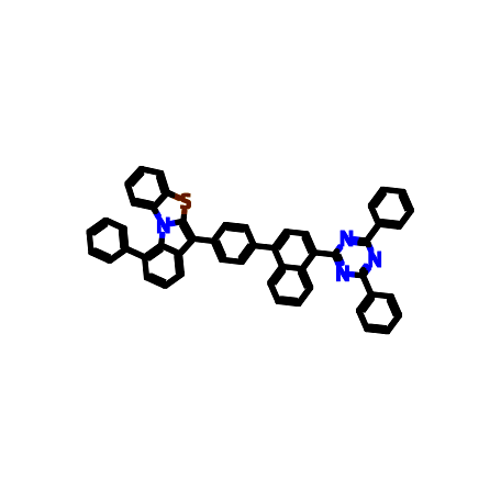 c1ccc(-c2nc(-c3ccccc3)nc(-c3ccc(-c4ccc(-c5c6cccc(-c7ccccc7)c6n6c5sc5ccccc56)cc4)c4ccccc34)n2)cc1